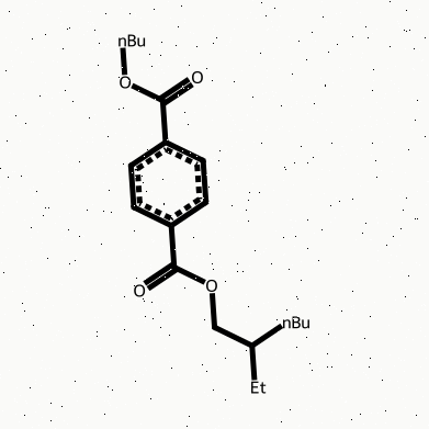 CCCCOC(=O)c1ccc(C(=O)OCC(CC)CCCC)cc1